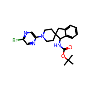 CC(C)(C)OC(=O)NC1c2ccccc2CC12CCN(c1cnc(Br)cn1)CC2